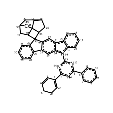 C1=CC(c2nc(-c3ccccc3)nc(-n3c4ccccc4c4cc5c(cc43)-c3ccccc3C53C4CC5CC6CC3C4(C5)C6)n2)=CCC1